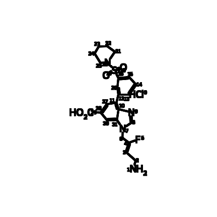 Cl.NCC=C(F)Cn1cnc2c(-c3cccc(S(=O)(=O)N4CCCCC4)c3)cc(C(=O)O)cc21